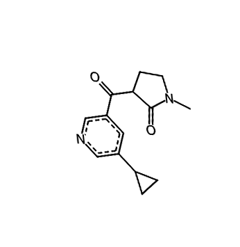 CN1CCC(C(=O)c2cncc(C3CC3)c2)C1=O